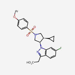 CC(C)Oc1ccc(S(=O)(=O)N2C[C@@H](C3CC3)[C@@H](n3nc(CC(=O)O)c4ccc(F)cc43)C2)cc1